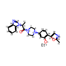 CCOc1cc(N2CCN(C(=O)C(C)n3cnc4ccccc43)CC2)ccc1-c1cnc(C)o1